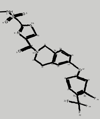 CNS(=O)(=O)c1nc(C(=O)N2CCc3cc(Oc4ccc(C(F)(F)F)c(F)c4)ccc3C2)cs1